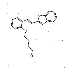 ClCCCCOc1ccccc1/C=C/c1nc2ccccc2o1